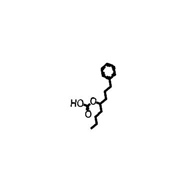 CCCCC(CCCc1ccccc1)OC(=O)O